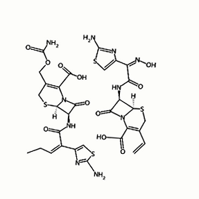 C=CC1=C(C(=O)O)N2C(=O)[C@@H](NC(=O)/C(=N\O)c3csc(N)n3)[C@H]2SC1.CC/C=C(\C(=O)N[C@@H]1C(=O)N2C(C(=O)O)=C(COC(N)=O)CS[C@H]12)c1csc(N)n1